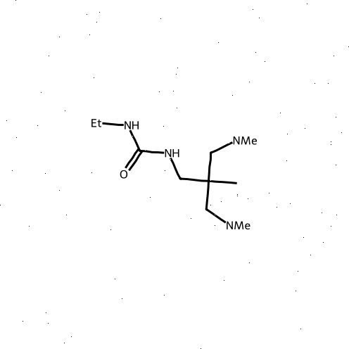 CCNC(=O)NCC(C)(CNC)CNC